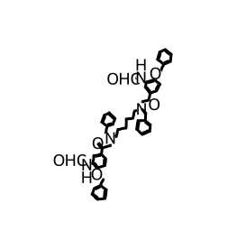 O=CNc1cc(C(=O)CN(CCCCCCN(CC(=O)c2ccc(OCc3ccccc3)c(NC=O)c2)Cc2ccccc2)Cc2ccccc2)ccc1OCc1ccccc1